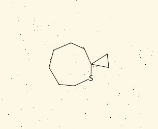 C1CCCC2(CC2)SCC1